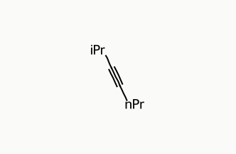 [CH2]CCC#CC(C)C